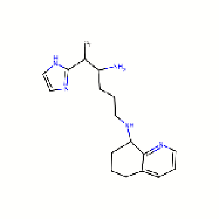 CC(C)C(c1ncc[nH]1)C(N)CCCNC1CCCc2cccnc21